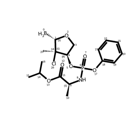 B[C@@H]1OC[C@@H](OP(=O)(N[C@@H](C)C(=O)OC(C)C)Oc2ccccc2)[C@@]1(C)Cl